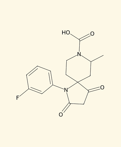 CC1CC2(CCN1C(=O)O)C(=O)CC(=O)N2c1cccc(F)c1